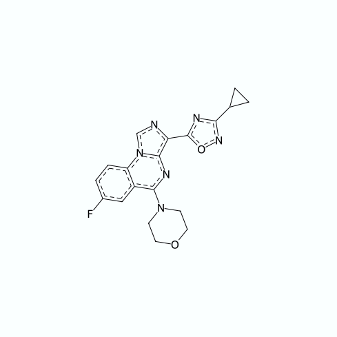 Fc1ccc2c(c1)c(N1CCOCC1)nc1c(-c3nc(C4CC4)no3)ncn12